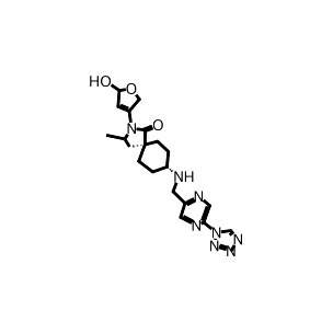 CC1C[C@]2(CC[C@@H](NCc3cnc(-n4cnnn4)cn3)CC2)C(=O)N1C1=CC(O)OC1